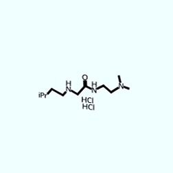 CC(C)CCNCC(=O)NCCN(C)C.Cl.Cl